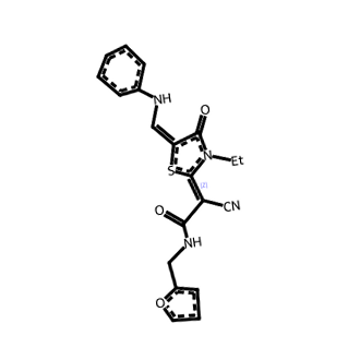 CCn1c(=O)c(=CNc2ccccc2)s/c1=C(/C#N)C(=O)NCc1ccco1